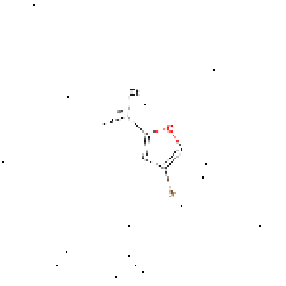 CC[C@@H](C)c1cc(Br)co1